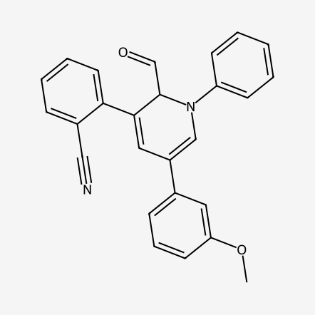 COc1cccc(C2=CN(c3ccccc3)C(C=O)C(c3ccccc3C#N)=C2)c1